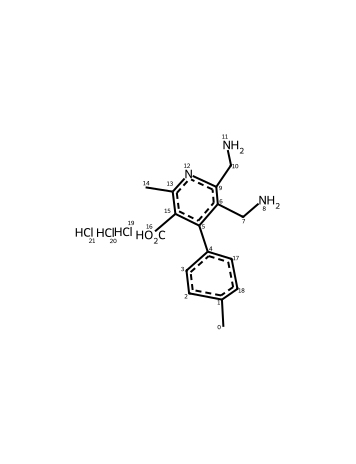 Cc1ccc(-c2c(CN)c(CN)nc(C)c2C(=O)O)cc1.Cl.Cl.Cl